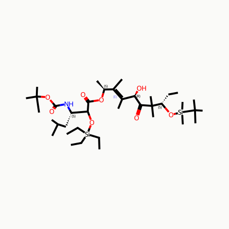 CC[C@H](O[Si](C)(C)C(C)(C)C)C(C)(C)C(=O)[C@H](O)/C(C)=C(\C)[C@H](C)OC(=O)C(O[Si](CC)(CC)CC)[C@H](CC(C)C)NC(=O)OC(C)(C)C